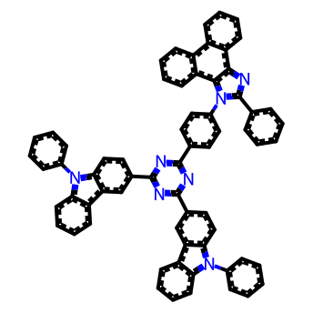 c1ccc(-c2nc3c4ccccc4c4ccccc4c3n2-c2ccc(-c3nc(-c4ccc5c(c4)c4ccccc4n5-c4ccccc4)nc(-c4ccc5c(c4)c4ccccc4n5-c4ccccc4)n3)cc2)cc1